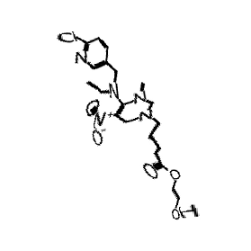 CCN(Cc1ccc(Cl)nc1)C1=C([N+](=O)[O-])CN(CCCC(=O)OCCO)CN1C